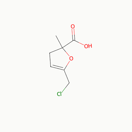 CC1(C(=O)O)CC=C(CCl)O1